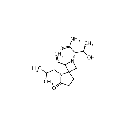 C=CC1N([C@H](C(N)=O)[C@@H](C)O)CC12CCC(=O)N2CC(C)C